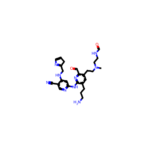 CN(CCNC=O)CCc1cc(CCCN)c(Nc2cc(NCC3=NC=CC3)c(C#N)cn2)nc1C=O